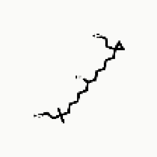 CC(C)(CCO)CCCCCC(O)CCCCCC1(CCO)CC1